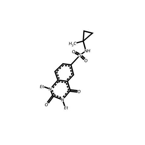 CCn1c(=O)c2cc(S(=O)(=O)NC3(C)CC3)ccc2n(CC)c1=O